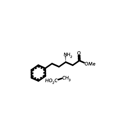 CC(=O)O.COC(=O)C[C@@H](N)CCc1ccccc1